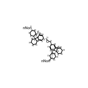 CCCCCCCCC[C@H]1CC[C@H](C2([C@@]3(F)C=C[C@@H](COC[C@@H]4C=C[C@](F)(C5([C@H]6CC[C@H](CCCCCCCCC)CC6)CCCCC5)C(F)=C4)C=C3F)CCCCC2)CC1